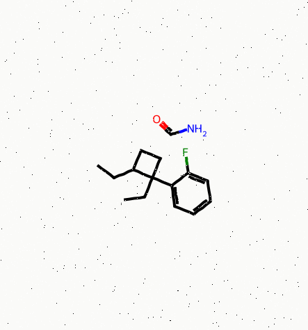 CCC1CCC1(CC)c1ccccc1F.NC=O